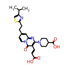 CC(C)c1csc(CCc2ccn3c(=O)c(C=CC(=O)O)c(N4CCC(C(=O)O)CC4)nc3c2)n1